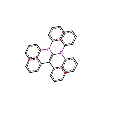 c1ccc(C(=C(P(c2ccccc2)c2ccccc2)P(c2ccccc2)c2ccccc2)c2ccccc2)cc1